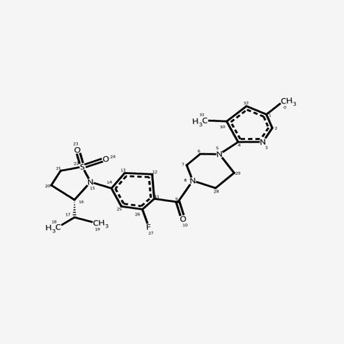 Cc1cnc(N2CCN(C(=O)c3ccc(N4[C@H](C(C)C)CCS4(=O)=O)cc3F)CC2)c(C)c1